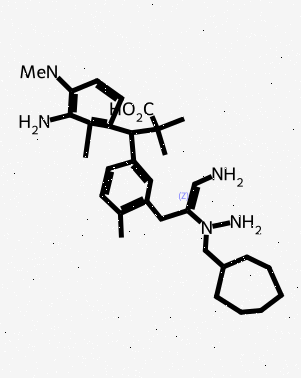 CNc1ccc(C(c2ccc(C)c(C/C(=C/N)N(N)CC3CCCCCC3)c2)C(C)(C)C(=O)O)c(C)c1N